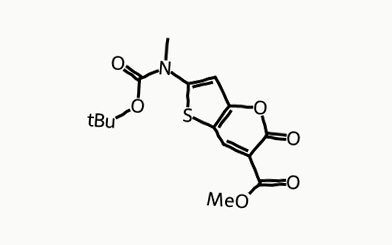 COC(=O)c1cc2sc(N(C)C(=O)OC(C)(C)C)cc2oc1=O